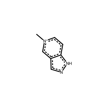 C[n+]1ccc2[nH]ncc2c1